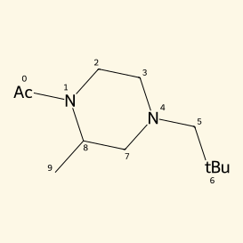 CC(=O)N1CCN(CC(C)(C)C)CC1C